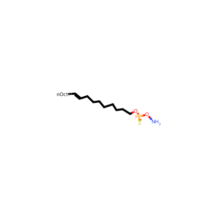 CCCCCCCC/C=C/CCCCCCCCO[PH](=S)ON